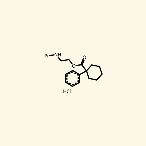 CC(C)NCCOC(=O)C1(c2ccccc2)CCCCC1.Cl